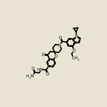 CCOc1cc(C(=O)N2CCC3(CC2)CC(=O)c2cc(C(=O)NCC(N)=O)ccc2O3)cc2c1ccn2C1CC1